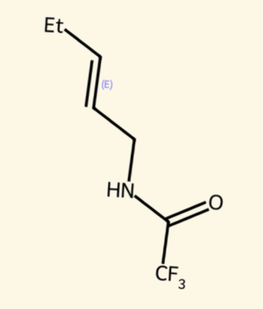 CC/C=C/CNC(=O)C(F)(F)F